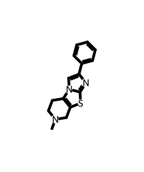 CN1CCc2c(sc3nc(-c4ccccc4)cn23)C1